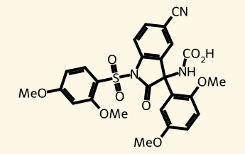 COc1ccc(S(=O)(=O)N2C(=O)C(NC(=O)O)(c3cc(OC)ccc3OC)c3cc(C#N)ccc32)c(OC)c1